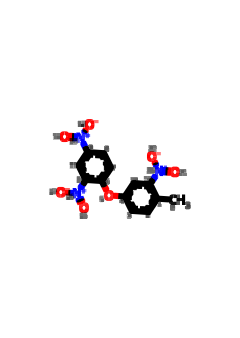 Cc1ccc(Oc2ccc([N+](=O)[O-])cc2[N+](=O)[O-])cc1[N+](=O)[O-]